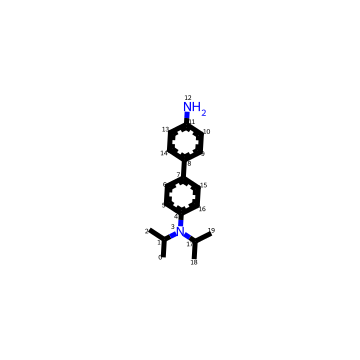 CC(C)N(c1ccc(-c2ccc(N)cc2)cc1)C(C)C